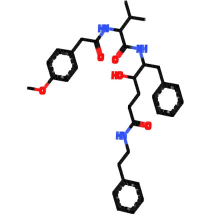 COc1ccc(CC(=O)NC(C(=O)NC(Cc2ccccc2)C(O)CCC(=O)NCCc2ccccc2)C(C)C)cc1